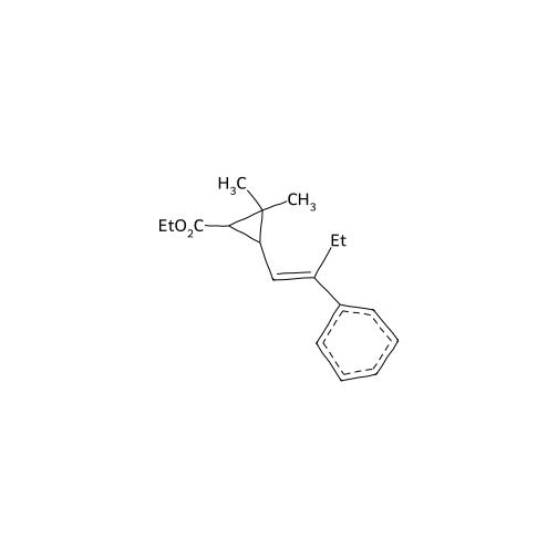 CCOC(=O)C1C(C=C(CC)c2ccccc2)C1(C)C